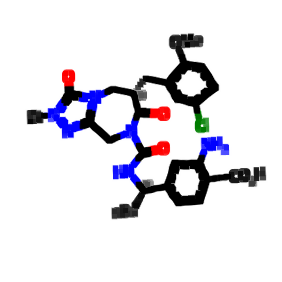 CCCC[C@@H](NC(=O)N1Cc2nn(CC)c(=O)n2C[C@H](Cc2cc(Cl)ccc2OC)C1=O)c1ccc(C(=O)O)c(N)c1